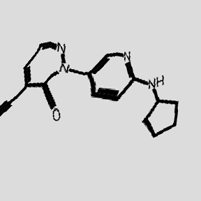 N#Cc1ccnn(-c2ccc(NC3CCCC3)nc2)c1=O